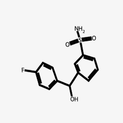 NS(=O)(=O)c1cccc(C(O)c2ccc(F)cc2)c1